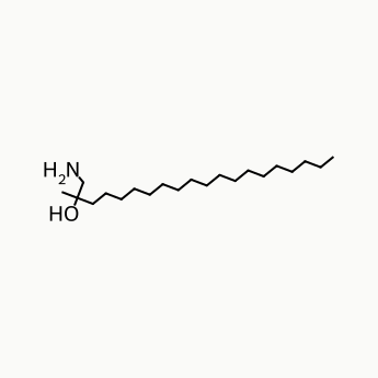 CCCCCCCCCCCCCCCCCCC(C)(O)CN